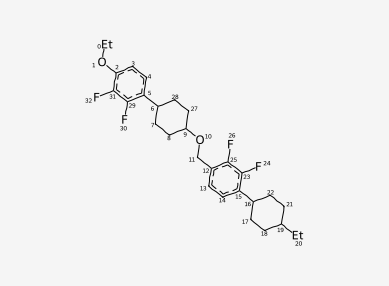 CCOc1ccc(C2CCC(OCc3ccc(C4CCC(CC)CC4)c(F)c3F)CC2)c(F)c1F